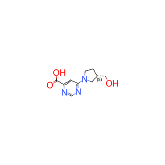 O=C(O)c1cc(N2CC[C@H](CO)C2)ncn1